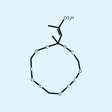 CC(=CC1(C)COCCOCCOCCOCCO1)C(=O)O